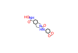 O=C(NO)c1ccc2c(c1)CCN(C(=O)Nc1ccc3c(c1)OCO3)C2